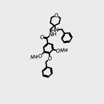 COc1cc(C(=O)NCC2(NCc3ccccc3)CCOCC2)cc(OC)c1OCc1ccccc1